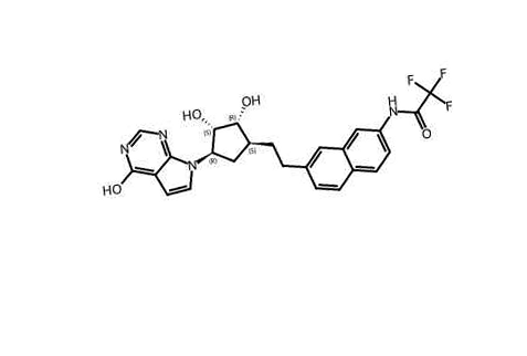 O=C(Nc1ccc2ccc(CC[C@H]3C[C@@H](n4ccc5c(O)ncnc54)[C@H](O)[C@@H]3O)cc2c1)C(F)(F)F